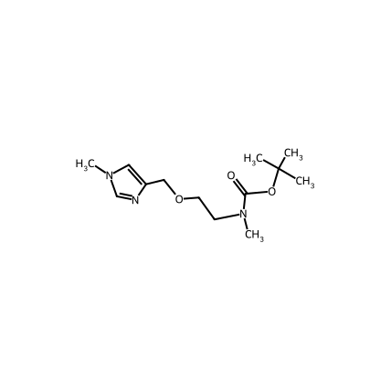 CN(CCOCc1cn(C)cn1)C(=O)OC(C)(C)C